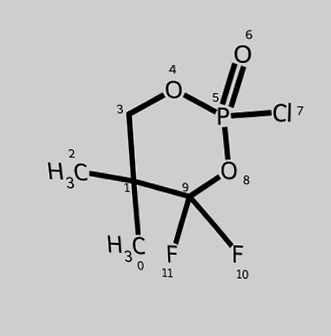 CC1(C)COP(=O)(Cl)OC1(F)F